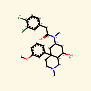 COc1cccc(C23CCN(C)CC2C(O)CC(N(C)C(=O)Cc2ccc(Cl)c(Cl)c2)C3)c1